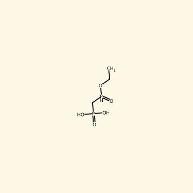 CCO[PH](=O)CP(=O)(O)O